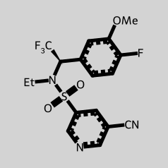 CCN([C@H](c1ccc(F)c(OC)c1)C(F)(F)F)S(=O)(=O)c1cncc(C#N)c1